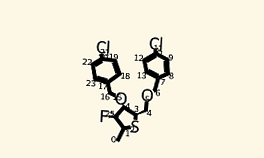 CC1S[C@H](COCc2ccc(Cl)cc2)[C@@H](OCc2ccc(Cl)cc2)[C@@H]1F